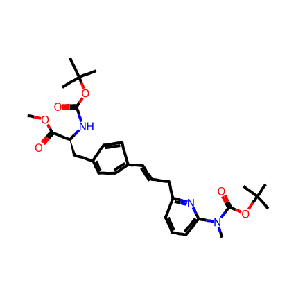 COC(=O)[C@H](Cc1ccc(/C=C/Cc2cccc(N(C)C(=O)OC(C)(C)C)n2)cc1)NC(=O)OC(C)(C)C